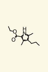 CCCc1c(C)[nH]c(C(=O)OCC)c1C